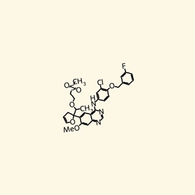 COc1cc2ncnc(Nc3ccc(OCc4cccc(F)c4)c(Cl)c3)c2cc1C1(C(C)OCCS(C)(=O)=O)CC=CO1